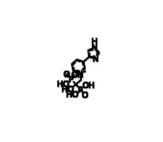 O=P(O)(O)C(O)(C[n+]1cccc(-c2c[nH]cn2)c1)P(=O)(O)O